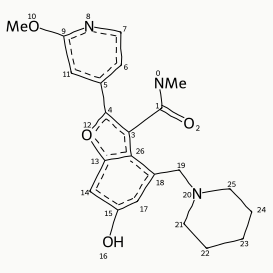 CNC(=O)c1c(-c2ccnc(OC)c2)oc2cc(O)cc(CN3CCCCC3)c12